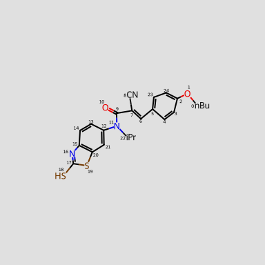 CCCCOc1ccc(C=C(C#N)C(=O)N(c2ccc3nc(S)sc3c2)C(C)C)cc1